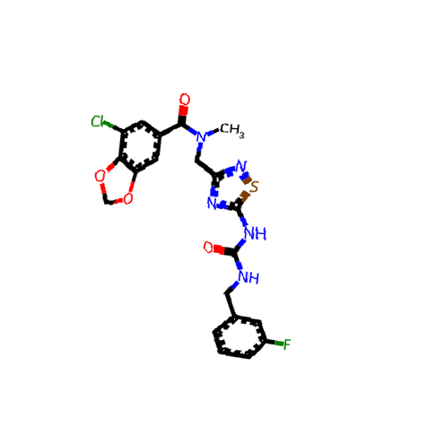 CN(Cc1nsc(NC(=O)NCc2cccc(F)c2)n1)C(=O)c1cc(Cl)c2c(c1)OCO2